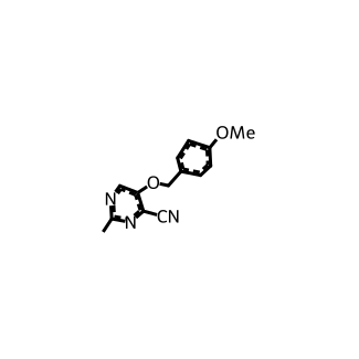 COc1ccc(COc2cnc(C)nc2C#N)cc1